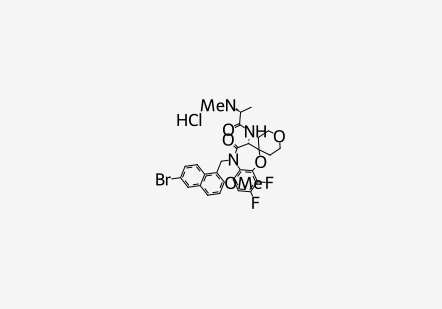 CN[C@@H](C)C(=O)N[C@H]1C(=O)N(Cc2c(OC)ccc3cc(Br)ccc23)c2ccc(F)c(F)c2OC12CCOCC2.Cl